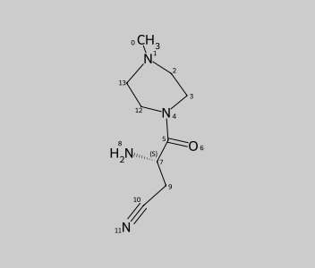 CN1CCN(C(=O)[C@@H](N)CC#N)CC1